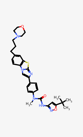 CN(C(=O)Nc1cc(C(C)(C)C)on1)c1ccc(-c2cn3c(n2)sc2cc(CCCN4CCOCC4)ccc23)cc1